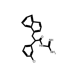 N=C(N)NC(=O)C(Cc1cccc2ccccc12)c1cccc(Cl)c1